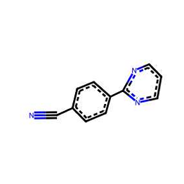 N#Cc1ccc(-c2ncccn2)cc1